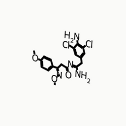 CON=C(CC(=O)N=C(N)Cc1cc(Cl)c(N)c(Cl)c1)c1ccc(OC)cc1